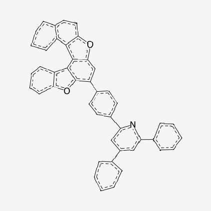 c1ccc(-c2cc(-c3ccccc3)nc(-c3ccc(-c4cc5oc6ccc7ccccc7c6c5c5c4oc4ccccc45)cc3)c2)cc1